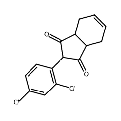 O=C1C(c2ccc(Cl)cc2Cl)C(=O)C2CC=CCC12